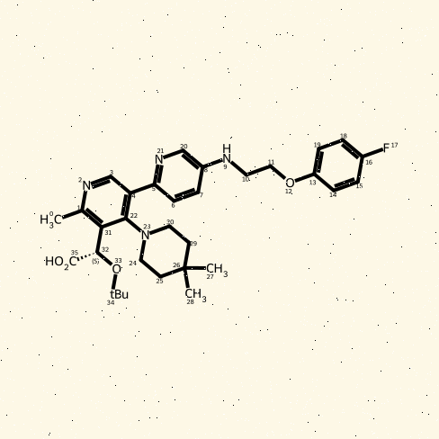 Cc1ncc(-c2ccc(NCCOc3ccc(F)cc3)cn2)c(N2CCC(C)(C)CC2)c1[C@H](OC(C)(C)C)C(=O)O